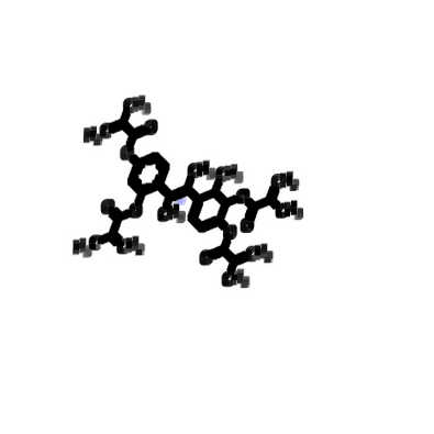 C=C(C)C(=O)OC1=CC=C(/C(C)=C(\C)c2ccc(OC(=O)C(=C)C)cc2OC(=O)C(=C)C)C(C)C1OC(=O)C(=C)C